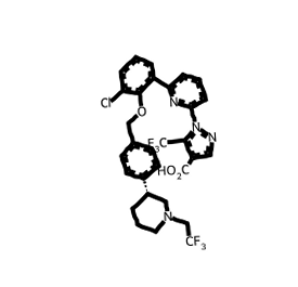 O=C(O)c1cnn(-c2cccc(-c3cccc(Cl)c3OCc3ccc([C@H]4CCCN(CC(F)(F)F)C4)cc3)n2)c1C(F)(F)F